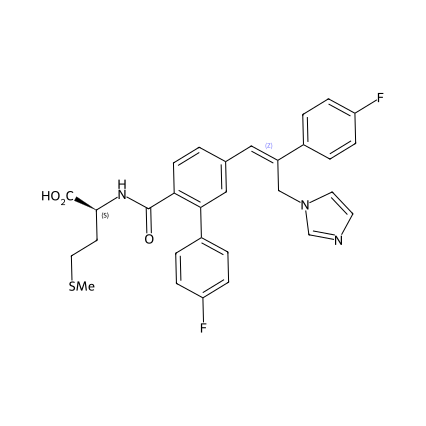 CSCC[C@H](NC(=O)c1ccc(/C=C(\Cn2ccnc2)c2ccc(F)cc2)cc1-c1ccc(F)cc1)C(=O)O